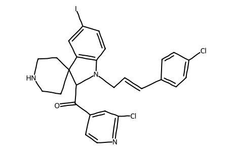 O=C(c1ccnc(Cl)c1)C1N(C/C=C/c2ccc(Cl)cc2)c2ccc(I)cc2C12CCNCC2